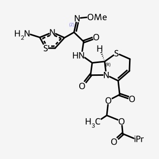 CO/N=C(\C(=O)NC1C(=O)N2C(C(=O)OC(C)OC(=O)C(C)C)=CCS[C@H]12)c1csc(N)n1